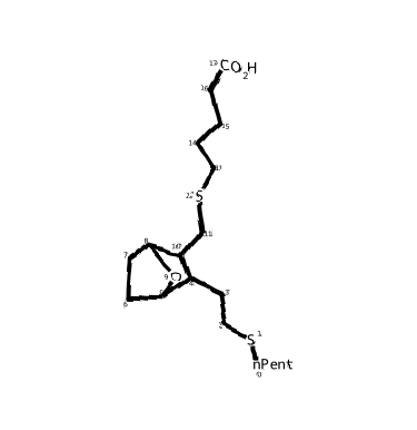 CCCCCSCCC1C2CCC(O2)C1CSCCCCC(=O)O